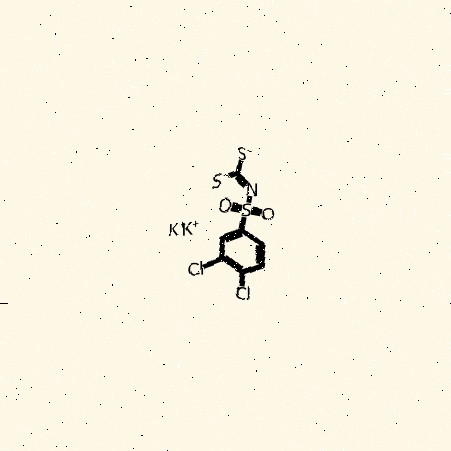 O=S(=O)(N=C([S-])[S-])c1ccc(Cl)c(Cl)c1.[K+].[K+]